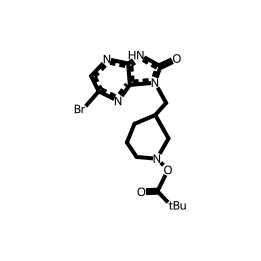 CC(C)(C)C(=O)ON1CCCC(Cn2c(=O)[nH]c3ncc(Br)nc32)C1